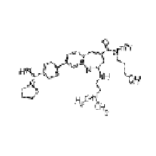 CCCN(CCCO)C(=O)C1=Cc2ccc(-c3ccc(C(=N)N4CCCC4)cc3)cc2N=C(NCCN(C)C)C1